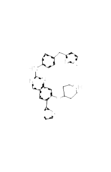 c1cc(Cc2ccc(Nc3ncc4cc(-c5nccs5)c(OC5CCNCC5)cc4n3)cc2)[nH]n1